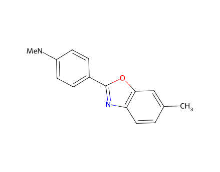 CNc1ccc(-c2nc3ccc(C)cc3o2)cc1